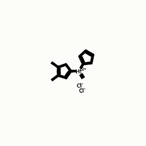 [CH2]=[Hf+2]([C]1=CC=CC1)[C]1=CC(C)=C(C)C1.[Cl-].[Cl-]